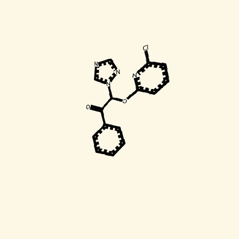 O=C(c1ccccc1)C(Oc1cccc(Cl)n1)n1cncn1